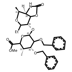 CCC1O[C@@H](C)[C@H]2NC(=O)OC2[C@@H]1O[C@@H]1OC(C(=O)OC)[C@@H](C)[C@@H](OCc2ccccc2)C1OCc1ccccc1